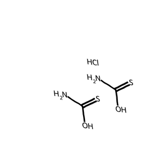 Cl.NC(O)=S.NC(O)=S